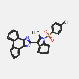 Cc1ccc(S(=O)(=O)n2c(C)c(-c3nc4c5ccccc5c5ccccc5c4[nH]3)c3ccccc32)cc1